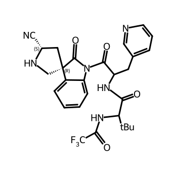 CC(C)(C)C(NC(=O)C(F)(F)F)C(=O)NC(Cc1cccnc1)C(=O)N1C(=O)[C@@]2(CN[C@H](C#N)C2)c2ccccc21